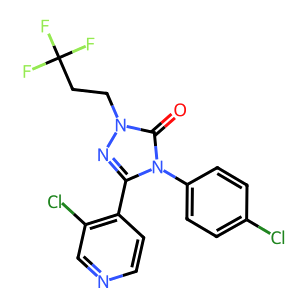 O=c1n(CCC(F)(F)F)nc(-c2ccncc2Cl)n1-c1ccc(Cl)cc1